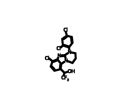 OC(c1ccc(Cl)c2nc3n(c12)CCCN3c1ccc(Cl)cc1Cl)C(F)(F)F